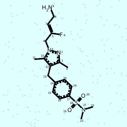 Cc1nn(C/C(F)=C/CN)c(C)c1Cc1ccc(S(=O)(=O)N(C)C)cc1